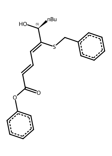 CCCC[C@H](O)C(=CC=CC(=O)Oc1ccccc1)SCc1ccccc1